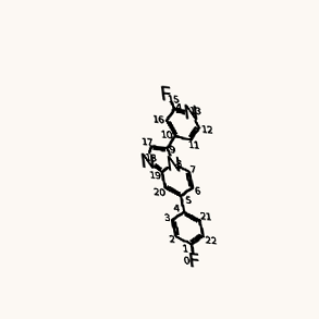 Fc1ccc(-c2ccn3c(-c4ccnc(F)c4)cnc3c2)cc1